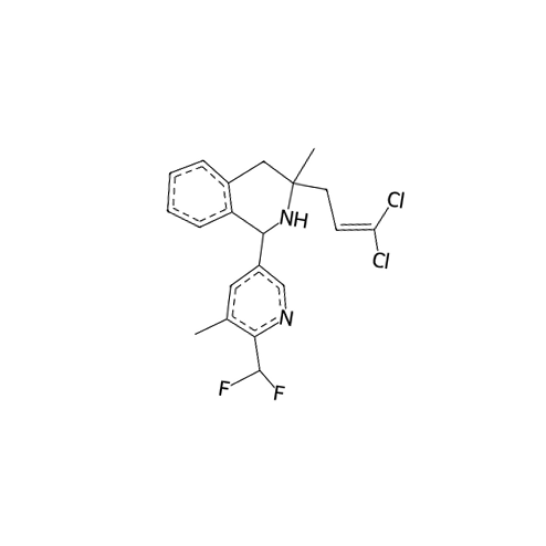 Cc1cc(C2NC(C)(CC=C(Cl)Cl)Cc3ccccc32)cnc1C(F)F